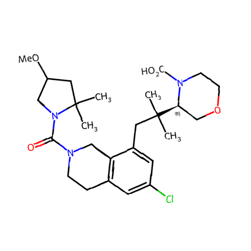 COC1CN(C(=O)N2CCc3cc(Cl)cc(CC(C)(C)[C@@H]4COCCN4C(=O)O)c3C2)C(C)(C)C1